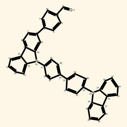 O=Cc1ccc(-c2ccc3c4ccccc4n(-c4ccc(-c5ccc(-n6c7ccccc7c7ccccc76)cc5)cc4)c3c2)cc1